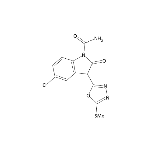 CSc1nnc(C2C(=O)N(C(N)=O)c3ccc(Cl)cc32)o1